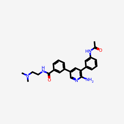 CC(=O)Nc1cccc(-c2cc(-c3cccc(C(=O)NCCN(C)C)c3)cnc2N)c1